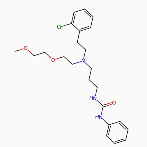 COCCOCCN(CCCNC(=O)Nc1ccccc1)CCc1ccccc1Cl